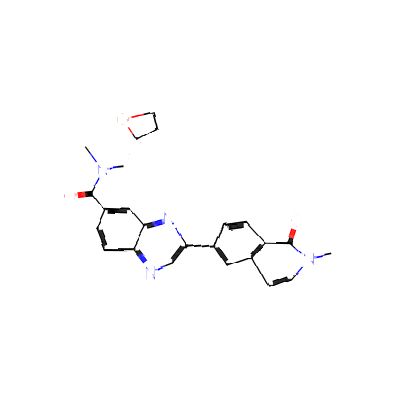 CN(C[C@H]1CCO1)C(=O)c1ccc2ncc(-c3ccc4c(=O)n(C)ccc4c3)nc2c1